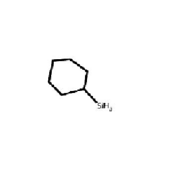 [SiH3]C1CCCCC1